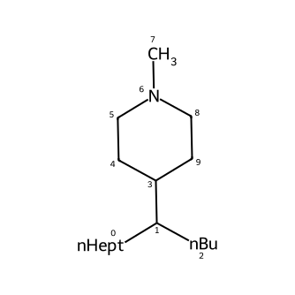 CCCCCCCC(CCCC)C1CCN(C)CC1